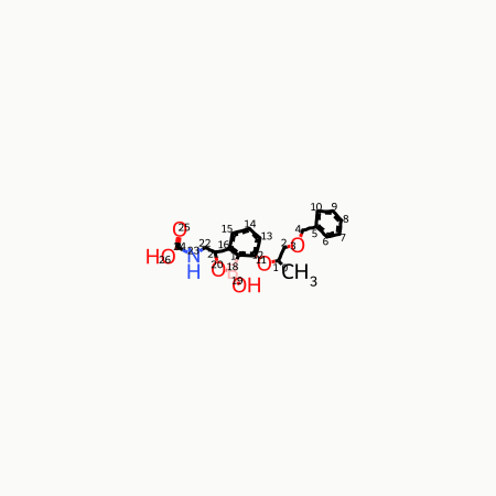 CC(COCc1ccccc1)Oc1cccc2c1B(O)OC2CNC(=O)O